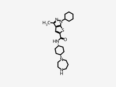 Cc1nn(C2CCCCC2)c2sc(C(=O)N[C@H]3CC[C@H](N4CCCNCC4)CC3)cc12